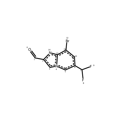 O=Cc1cn2cc(C(F)F)cc(Br)c2n1